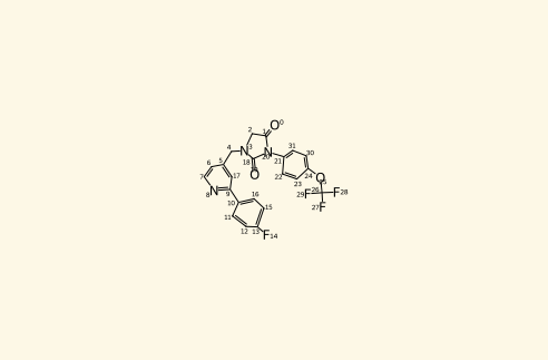 O=C1CN(Cc2ccnc(-c3ccc(F)cc3)c2)C(=O)N1c1ccc(OC(F)(F)F)cc1